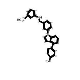 CC(C)(C)c1ccc(-c2cccc3c2ccn3-c2cccc(CNc3cccc(C(=O)O)c3)c2)cc1